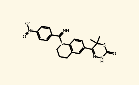 CC1(C)SC(=O)NN=C1c1ccc2c(c1)CCCN2C(=N)c1ccc([N+](=O)[O-])cc1